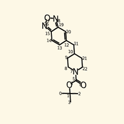 CC(C)(C)OC(=O)N1CCC(Cc2ccc3nonc3c2)CC1